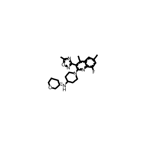 Cc1cc(F)c2nc(N3CCC(N[C@H]4CCCOC4)CC3)c(-c3noc(C)n3)c(C)c2c1